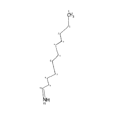 CCCCCCCCCC[C]=N